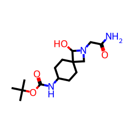 CC(C)(C)OC(=O)NC1CCC2(CC1)CN(CC(N)=O)C2O